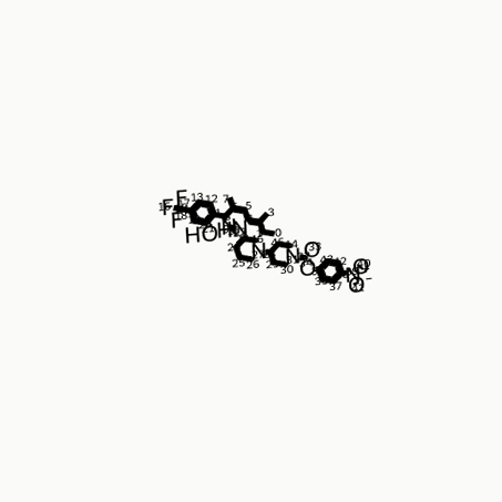 CC/C(C)=C(/C=C(C)\C(=N/C)c1ccc(C(F)(F)F)cc1O)NC1CCCN(C2CCN(C(=O)Oc3ccc([N+](=O)[O-])cc3)CC2)C1